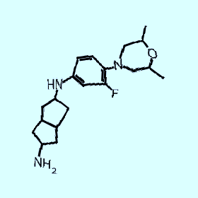 CC1CN(c2ccc(NC3CC4CC(N)CC4C3)cc2F)CC(C)O1